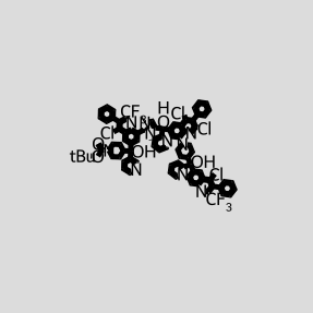 Cn1c(C(O)(c2cc(N3CCC(C(O)(c4ccc5nc(C(F)(F)F)c(-c6ccccc6)c(Cl)c5c4)c4ccccn4)CC3)c3nc(Cl)c(-c4ccccc4)c(Cl)c3c2)c2ccccn2)cnc1-c1cc(C(O)(c2cccnc2)C2CCN(C(=O)OC(C)(C)C)CC2)cc2c(Cl)c(-c3ccccc3)c(C(F)(F)F)nc12